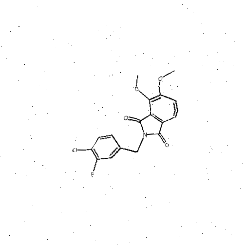 COc1ccc2c(c1OC)C(=O)N(Cc1ccc(Cl)c(F)c1)C2=O